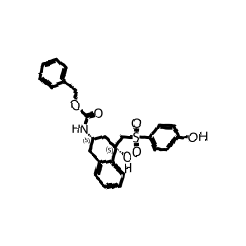 O=C(N[C@H]1Cc2ccccc2[C@](O)(CS(=O)(=O)c2ccc(O)cc2)C1)OCc1ccccc1